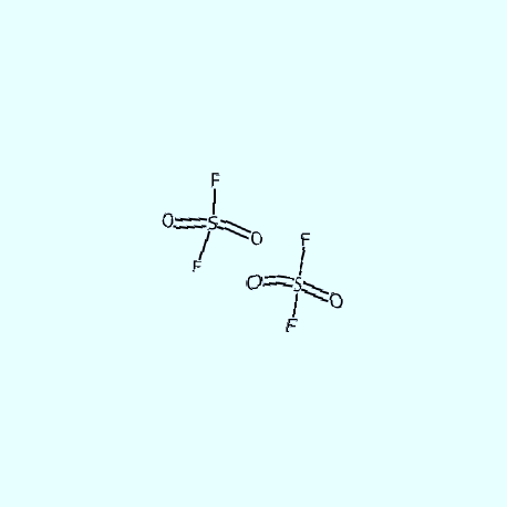 O=S(=O)(F)F.O=S(=O)(F)F